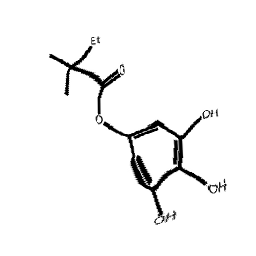 CCC(C)(C)C(=O)Oc1cc(O)c(O)c(O)c1